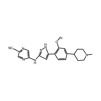 CC(C)Oc1cc(C2CCN(C)CC2)ccc1-c1cc(Nc2cnc(C#N)cn2)n[nH]1